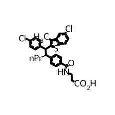 CCC[C@H](c1ccc(C(=O)NCCC(=O)O)cc1)C(c1ccc(Cl)cc1)c1sc2ccc(Cl)cc2c1C